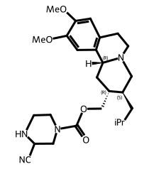 COc1cc2c(cc1OC)[C@H]1C[C@@H](COC(=O)N3CCNC(C#N)C3)[C@H](CC(C)C)CN1CC2